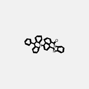 O=c1c2cccc3c(N4c5ccccc5C(c5ccccc5)c5ccccc54)ccc(c32)c2nc3ccccc3n12